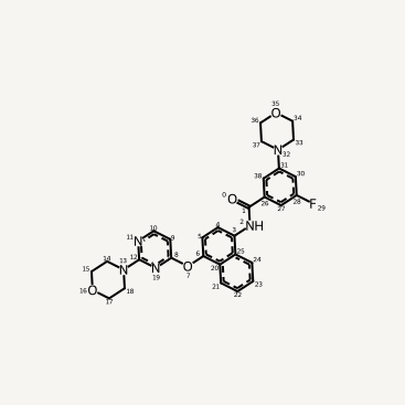 O=C(Nc1ccc(Oc2ccnc(N3CCOCC3)n2)c2ccccc12)c1cc(F)cc(N2CCOCC2)c1